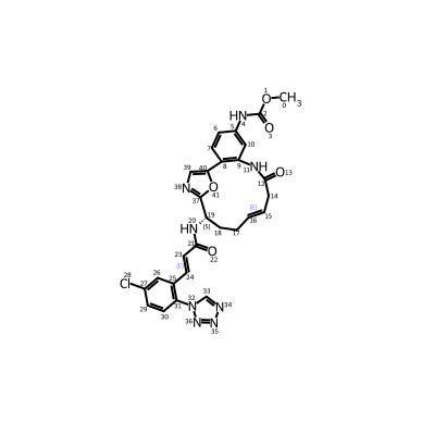 COC(=O)Nc1ccc2c(c1)NC(=O)C/C=C/CC[C@H](NC(=O)/C=C/c1cc(Cl)ccc1-n1cnnn1)c1ncc-2o1